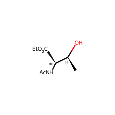 CCOC(=O)[C@H](NC(C)=O)[C@H](C)O